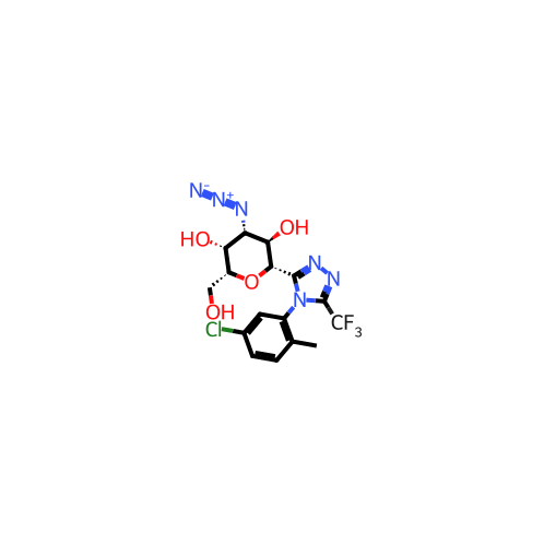 Cc1ccc(Cl)cc1-n1c([C@@H]2O[C@H](CO)[C@H](O)[C@H](N=[N+]=[N-])[C@H]2O)nnc1C(F)(F)F